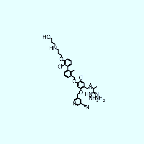 Cc1c(COc2cc(OCc3cncc(C#N)c3)c(CN(C)C(C)/C(=N/N)NN)cc2Cl)cccc1-c1cccc(OCCCNCCCO)c1Cl